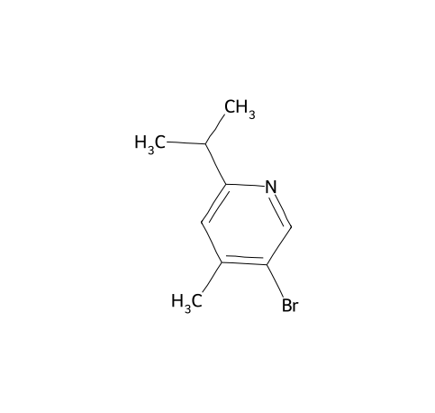 Cc1cc(C(C)C)ncc1Br